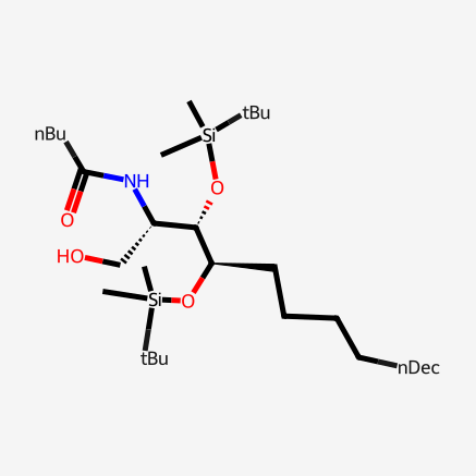 CCCCCCCCCCCCCC[C@@H](O[Si](C)(C)C(C)(C)C)[C@@H](O[Si](C)(C)C(C)(C)C)[C@H](CO)NC(=O)CCCC